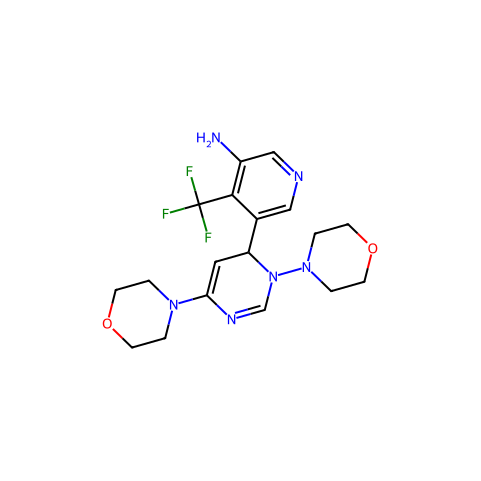 Nc1cncc(C2C=C(N3CCOCC3)N=CN2N2CCOCC2)c1C(F)(F)F